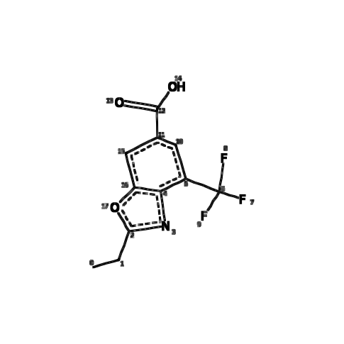 CCc1nc2c(C(F)(F)F)cc(C(=O)O)cc2o1